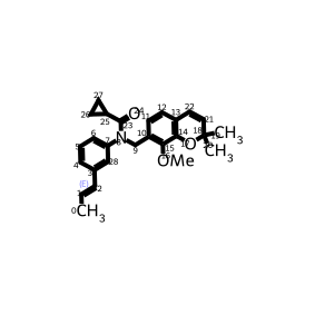 C/C=C/c1cccc(N(Cc2ccc3c(c2OC)OC(C)(C)C=C3)C(=O)C2CC2)c1